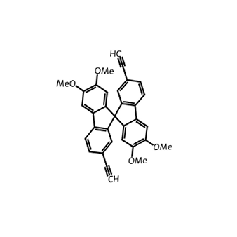 C#Cc1ccc2c(c1)C1(c3cc(C#C)ccc3-c3cc(OC)c(OC)cc31)c1cc(OC)c(OC)cc1-2